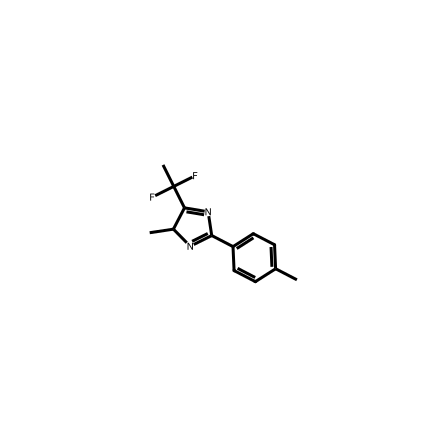 Cc1ccc(C2=NC(C)C(C(C)(F)F)=N2)cc1